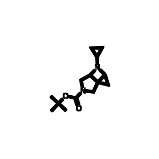 CC(C)(C)OC(=O)N1CC2N(C3CC3)C3CC23C1